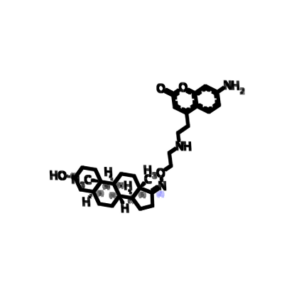 C[C@]12CC[C@@H](O)C[C@@H]1CC[C@@H]1[C@@H]2CC[C@]2(C)/C(=N\OCCNCCc3cc(=O)oc4cc(N)ccc34)CC[C@@H]12